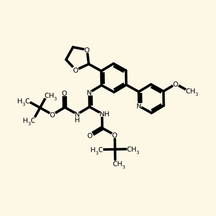 COc1ccnc(-c2ccc(C3OCCO3)c(N=C(NC(=O)OC(C)(C)C)NC(=O)OC(C)(C)C)c2)c1